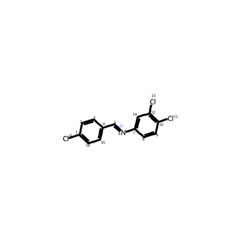 Clc1ccc(/C=N/c2ccc(Cl)c(Cl)c2)cc1